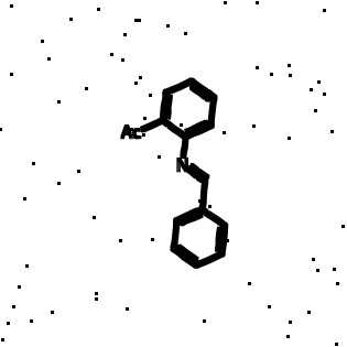 CC(=O)c1ccccc1N=Cc1ccccc1